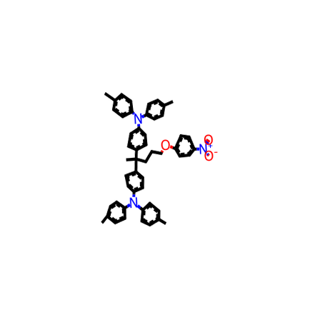 Cc1ccc(N(c2ccc(C)cc2)c2ccc(C(C)(CCCOc3ccc([N+](=O)[O-])cc3)c3ccc(N(c4ccc(C)cc4)c4ccc(C)cc4)cc3)cc2)cc1